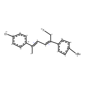 CCCCc1ccc(/C(=C/C=C(\C)c2ccc(CC)cc2)CF)cc1